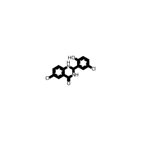 O=C1NC(c2cc(Cl)ccc2O)Nc2ccc(Cl)cc21